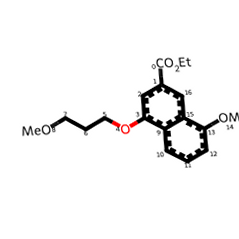 CCOC(=O)c1cc(OCCCOC)c2cccc(OC)c2c1